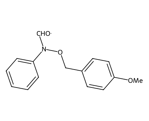 COc1ccc(CON([C]=O)c2ccccc2)cc1